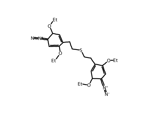 CCOC1=CC(=[N+]=[N-])C(OCC)C=C1CCSCCC1=CC(OCC)C(=[N+]=[N-])C=C1OCC